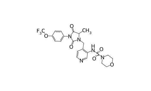 CC1C(=O)N(c2ccc(OC(F)(F)F)cc2)C(=O)N1Cc1ccncc1NS(=O)(=O)N1CCOCC1